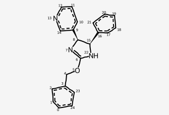 c1ccc(COC2=N[C@@H](c3cccnc3)[C@@H](c3ccccc3)N2)cc1